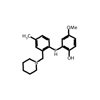 COc1ccc(O)c(Pc2ccc(C)cc2CN2CCCCC2)c1